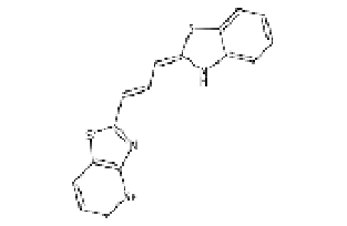 C(=Cc1nc2c(s1)C=CC[Se]2)C=C1Nc2ccccc2S1